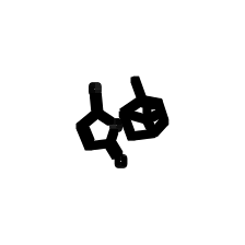 CC1=CCC2CC1C2(C)C.O=C1C=CC(=O)O1